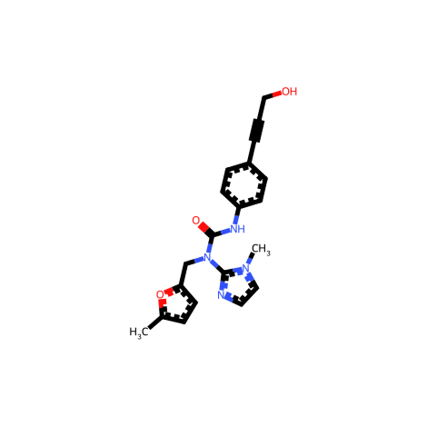 Cc1ccc(CN(C(=O)Nc2ccc(C#CCO)cc2)c2nccn2C)o1